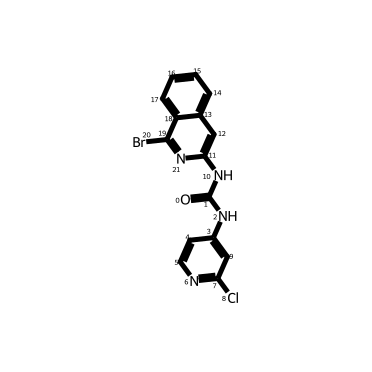 O=C(Nc1ccnc(Cl)c1)Nc1cc2ccccc2c(Br)n1